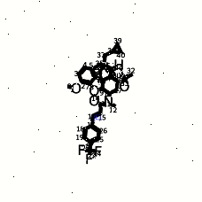 COc1ccc2c3c1OC1C(N(C)C(=O)/C=C/c4ccc(C(F)(F)F)cc4)CC[C@@]4(OC(C)=O)[C@@H](C2)N(CC2CC2)CC[C@]314